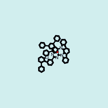 c1ccc(-c2ccc(-n3c4ccccc4c4ccc5c6ccccc6n(-c6nc(-c7cc(-c8ccccc8)cc(-c8ccccc8)c7)nc(-c7cccc8c7oc7cccc(-c9ccccc9)c78)n6)c5c43)cc2)cc1